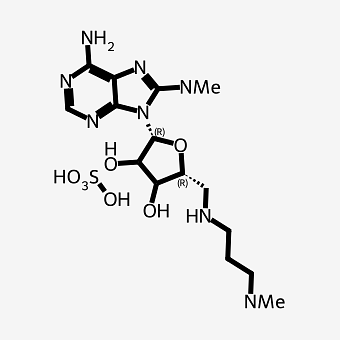 CNCCCNC[C@H]1O[C@@H](n2c(NC)nc3c(N)ncnc32)C(O)C1O.O=S(=O)(O)O